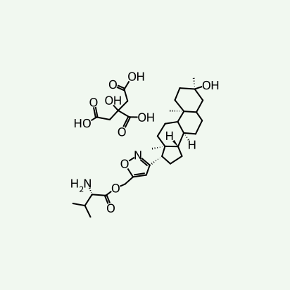 CC(C)[C@H](N)C(=O)OCc1cc([C@H]2CC[C@H]3[C@@H]4CCC5C[C@](C)(O)CC[C@]5(C)C4CC[C@]23C)no1.O=C(O)CC(O)(CC(=O)O)C(=O)O